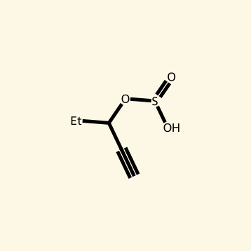 C#CC(CC)OS(=O)O